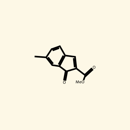 COC(=O)C1=Cc2ccc(C)cc2C1=O